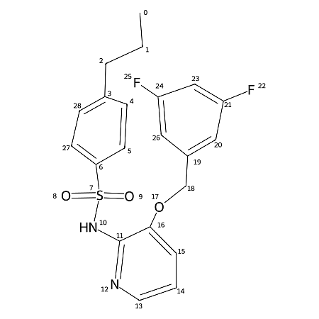 CCCc1ccc(S(=O)(=O)Nc2ncccc2OCc2cc(F)cc(F)c2)cc1